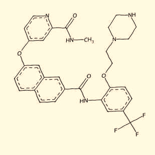 CNC(=O)c1cc(Oc2ccc3ccc(C(=O)Nc4cc(C(F)(F)F)ccc4OCCN4CCNCC4)cc3c2)ccn1